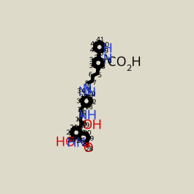 O=C(O)Nc1cc(CCCCn2nc3ccc(CNC[C@H](O)c4ccc(O)c5[nH]c(=O)ccc45)cc3n2)ccc1-c1ccccc1